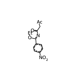 CCOC(=NC(=O)CC(C)=O)c1ccc([N+](=O)[O-])cc1